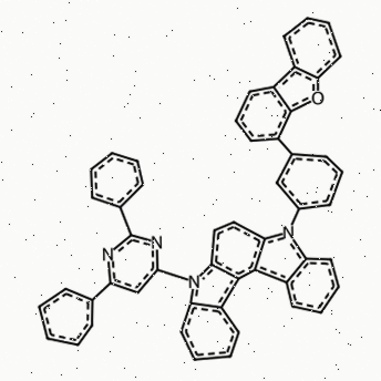 c1ccc(-c2cc(-n3c4ccccc4c4c5c6ccccc6n(-c6cccc(-c7cccc8c7oc7ccccc78)c6)c5ccc43)nc(-c3ccccc3)n2)cc1